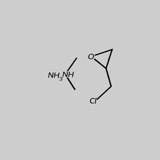 CNC.ClCC1CO1.N